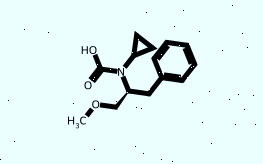 COC[C@H](Cc1ccccc1)N(C(=O)O)C1CC1